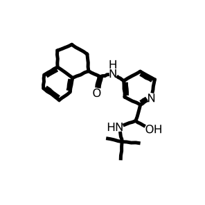 CC(C)(C)NC(O)c1cc(NC(=O)C2CCCc3ccccc32)ccn1